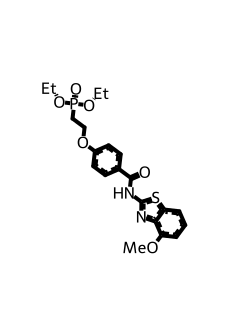 CCOP(=O)(CCOc1ccc(C(=O)Nc2nc3c(OC)cccc3s2)cc1)OCC